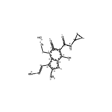 CC(C)Cn1c(=O)c(C(=O)NC2CC2)c(O)n2nc(N)c(/C=C/C(C)(C)C)c12.Cl